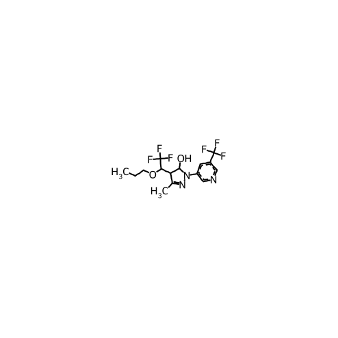 CCCOC(C1C(C)=NN(c2cncc(C(F)(F)F)c2)C1O)C(F)(F)F